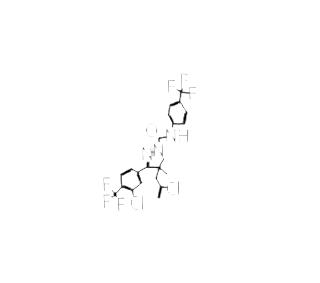 C=C(Cl)CC1(C)CN(C(=O)Nc2ccc(C(F)(F)F)cc2)N=C1c1ccc(C(F)(F)F)c(Cl)c1